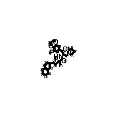 O=C(NC(CN1CCCC1)C(O)c1cc(F)c2c(c1)OCCO2)C(F)(F)CCc1ccc2c(c1)CCCC2